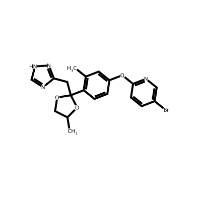 Cc1cc(Oc2ccc(Br)cn2)ccc1C1(Cc2nc[nH]n2)OCC(C)O1